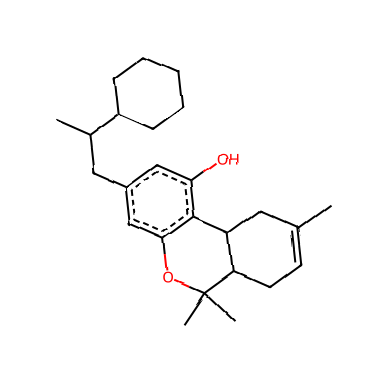 CC1=CCC2C(C1)c1c(O)cc(CC(C)C3CCCCC3)cc1OC2(C)C